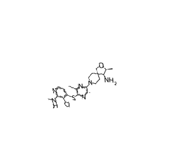 CNc1nccc(Sc2n[c]c(N3CCC4(CC3)CO[C@@H](C)[C@H]4N)nc2C)c1Cl